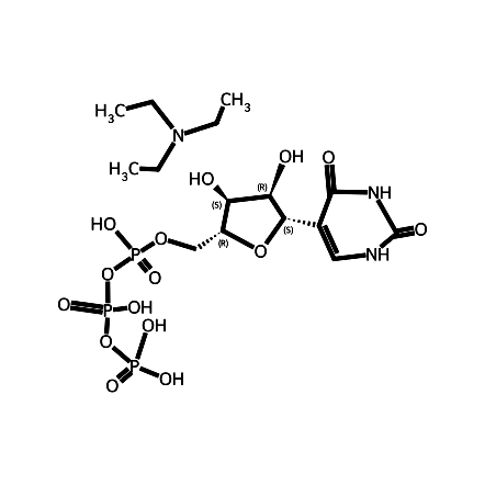 CCN(CC)CC.O=c1[nH]cc([C@@H]2O[C@H](COP(=O)(O)OP(=O)(O)OP(=O)(O)O)[C@@H](O)[C@H]2O)c(=O)[nH]1